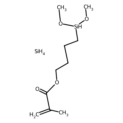 C=C(C)C(=O)OCCCC[SiH](OC)OC.[SiH4]